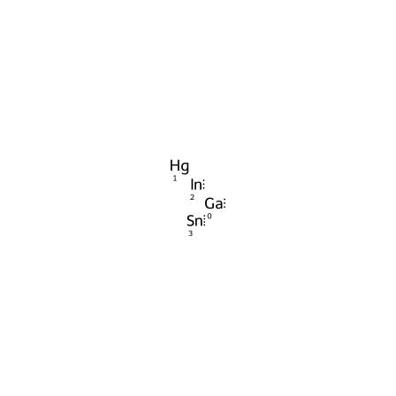 [Ga].[Hg].[In].[Sn]